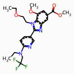 CCOCCn1c(-c2ccc(N(CC)CC(F)(F)F)nc2)nc2cc(C(=O)OC)cc(OC)c21